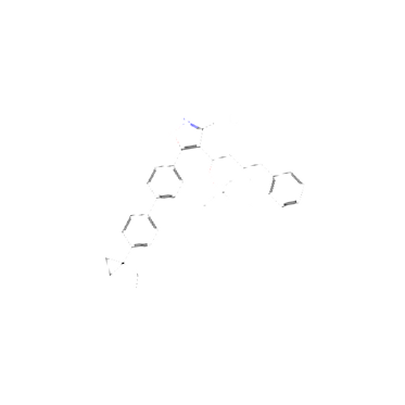 Cc1noc(-c2ccc(-c3ccc(C4(CC(=O)O)CC4)cc3)cc2)c1C(CCCc1ccccc1)O[Si](C)(C)C(C)(C)C